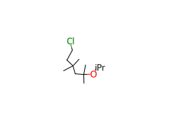 CC(C)OC(C)(C)CC(C)(C)CCCl